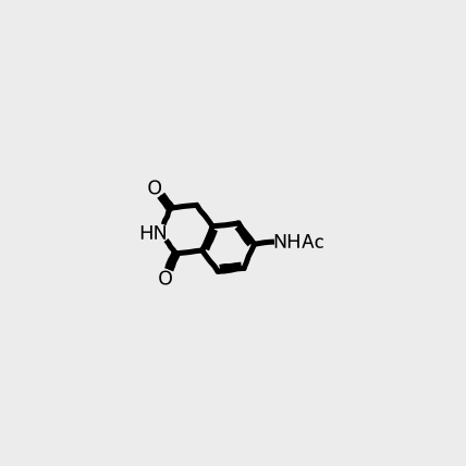 CC(=O)Nc1ccc2c(c1)CC(=O)NC2=O